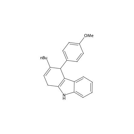 CCCCC1=CCc2[nH]c3ccccc3c2C1c1ccc(OC)cc1